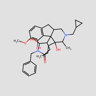 CCCC1(O)C(C)N(CC2CC2)CC2Cc3ccc(OC)c(O)c3C21C1CC(=O)N(Cc2ccccc2)C1O